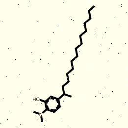 CCCCCCCCCCCCCCC(C)c1ccc(N(C)C)c(O)c1